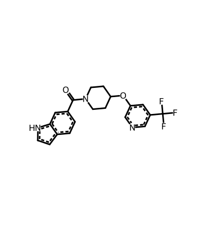 O=C(c1ccc2cc[nH]c2c1)N1CCC(Oc2cncc(C(F)(F)F)c2)CC1